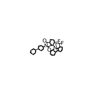 O=C1c2cccc(-n3c4ccccc4c4cccc(C(F)(F)F)c43)c2C(=O)N1c1ccc(-c2ccccc2)cc1